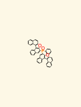 O=P(c1ccccc1)(c1cc2ccccc2c2c1oc1ccc3ccccc3c12)c1cc2ccccc2c2c1oc1ccc3ccccc3c12